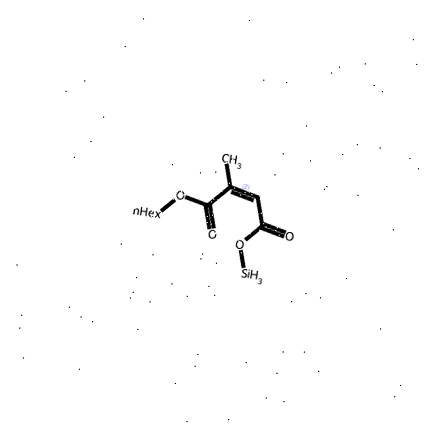 CCCCCCOC(=O)/C(C)=C\C(=O)O[SiH3]